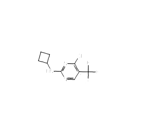 FC(F)(F)c1cnc(NC2CCC2)nc1Cl